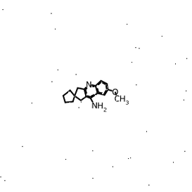 COc1ccc2nc3c(c(N)c2c1)CC1(CCCC1)C3